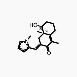 CC1=C2CCC[C@H](O)[C@@]2(C)CC(=Cc2cccn2C)C1=O